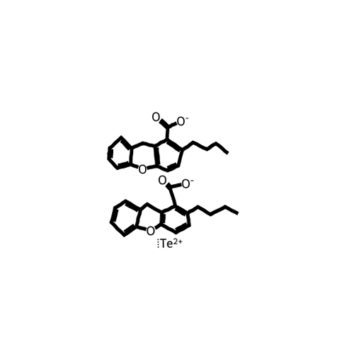 CCCCc1ccc2c(c1C(=O)[O-])Cc1ccccc1O2.CCCCc1ccc2c(c1C(=O)[O-])Cc1ccccc1O2.[Te+2]